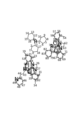 C1CCC(P(C2CCCCC2)C2CCCCC2)CC1.Cc1cc(C)c(N2CCN(c3c(C)cc(C)cc3C)[C]2=[Ru-4]([Cl])([Cl])=[CH]CCc2ccccn2)c(C)c1.Cc1ccccc1N1CCN(c2ccccc2C)[C]1=[Ru-4]([Cl])([Cl])=[CH]c1ccccc1